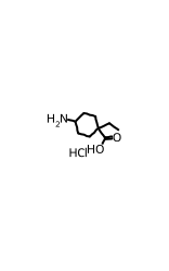 CCC1(C(=O)O)CCC(N)CC1.Cl